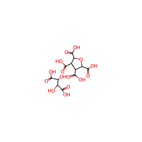 O=C(O)C(O)C(O)C(=O)O.O=C(O)C1OC(C(=O)O)C(C(=O)O)C1C(=O)O